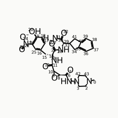 CN1CCN(NC(=O)[C@H]2OC2C(=O)N[C@H](Cc2ccc(O)c([N+](=O)[O-])c2)C(=O)N[C@@H](C(N)=O)C2Cc3ccccc3C2)CC1